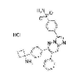 Cl.NC1(c2ccc(-c3nn4c(-c5ccc(S(N)(=O)=O)cc5)cnc4cc3-c3ccccc3)cc2)CCC1